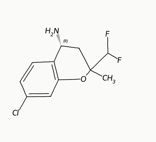 CC1(C(F)F)C[C@@H](N)c2ccc(Cl)cc2O1